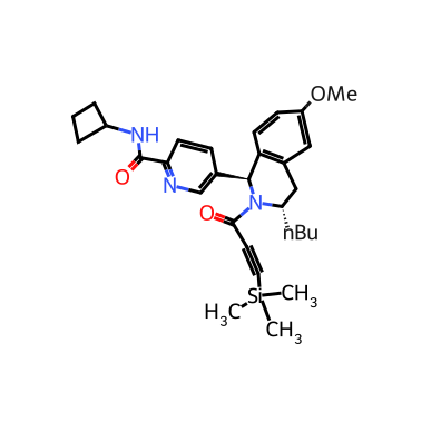 CCCC[C@H]1Cc2cc(OC)ccc2[C@H](c2ccc(C(=O)NC3CCC3)nc2)N1C(=O)C#C[Si](C)(C)C